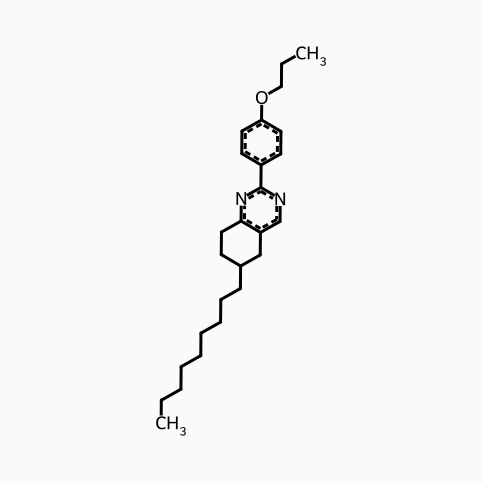 CCCCCCCCCC1CCc2nc(-c3ccc(OCCC)cc3)ncc2C1